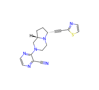 N#Cc1nccnc1N1CCN2[C@@H](CC[C@@H]2C#Cc2nccs2)C1